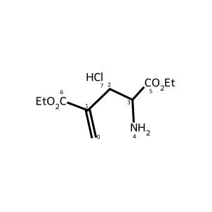 C=C(CC(N)C(=O)OCC)C(=O)OCC.Cl